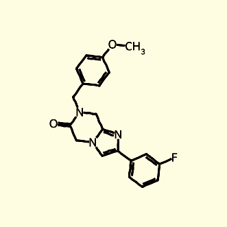 COc1ccc(CN2Cc3nc(-c4cccc(F)c4)cn3CC2=O)cc1